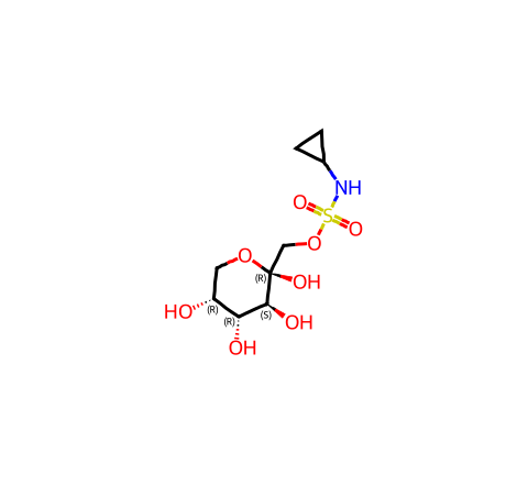 O=S(=O)(NC1CC1)OC[C@@]1(O)OC[C@@H](O)[C@@H](O)[C@@H]1O